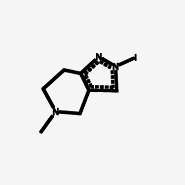 CN1CCc2nn(I)cc2C1